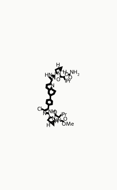 COC(=O)NC(C(=O)N1[C@@H]2C[C@@H]2C[C@H]1c1nc(Cl)c(-c2ccc(-c3ccc4nc(-c5c[nH]c([C@@H]6C[C@H]7C[C@H]7N6C(=O)C(OC(N)=O)C(C)C)n5)ccc4c3)cc2)[nH]1)C(C)C